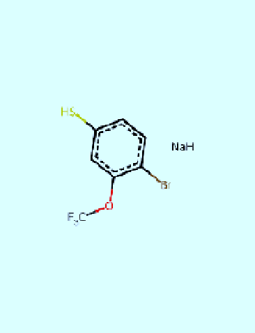 FC(F)(F)Oc1cc(S)ccc1Br.[NaH]